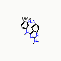 COc1ccc(N(C)c2nc(N(C)C)nc3ccc(N)cc23)cc1